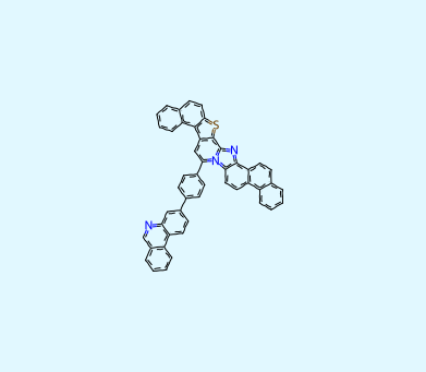 c1ccc2c(c1)cnc1cc(-c3ccc(-c4cc5c(sc6ccc7ccccc7c65)c5nc6c7ccc8ccccc8c7ccc6n45)cc3)ccc12